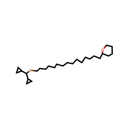 C(CCCCCCCSC(C1CC1)C1CC1)CCCCCCCC1CCCCO1